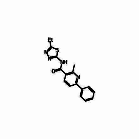 CCc1nnc(NC(=O)c2ccc(-c3ccccc3)nc2C)s1